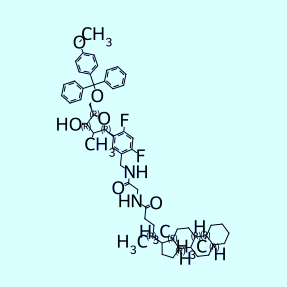 COc1ccc(C(OC[C@H]2O[C@@H](c3cc(CNC(=O)CNC(=O)CC[C@@H](C)C4CC[C@@H]5C6CC[C@H]7CCCC[C@@]7(C)[C@@H]6CC[C@@]45C)c(F)cc3F)C(C)[C@H]2O)(c2ccccc2)c2ccccc2)cc1